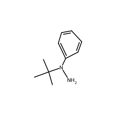 CC(C)(C)N(N)c1ccccc1